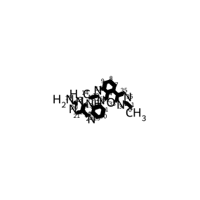 CCc1ncc(-c2cccc3nc([C@H](C)Nc4nc(N)ncc4C#N)n(-c4ccccc4)c(=O)c23)cn1